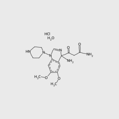 COc1cc2c(cc1OC)C(N)(C(=O)CC(N)=O)N=CN2N1CCNCC1.Cl.O